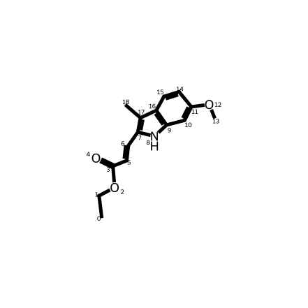 CCOC(=O)C=Cc1[nH]c2cc(OC)ccc2c1C